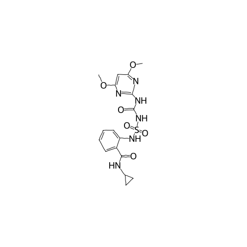 COc1cc(OC)nc(NC(=O)NS(=O)(=O)Nc2ccccc2C(=O)NC2CC2)n1